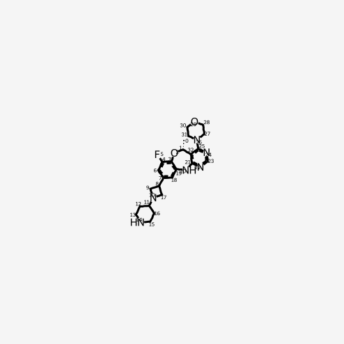 C[C@H]1Oc2c(F)cc(C3CN(C4CCNCC4)C3)cc2Nc2ncnc(N3CCOCC3)c21